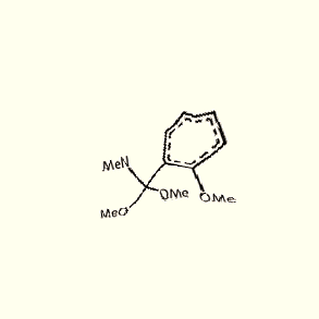 CNC(OC)(OC)c1ccccc1OC